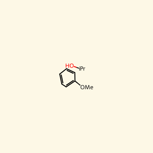 CC(C)O.COc1ccccc1